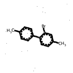 Cc1ccc(-c2ccc(C)cc2Br)cc1